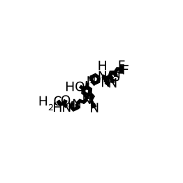 C=CC(=O)N[C@H]1CCN(CCn2c(C#N)cc3cc(CN4CCC(Nc5ncnc6sc(CC(F)(F)F)cc56)CC4)c(O)cc32)C1